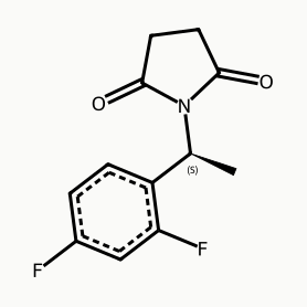 C[C@@H](c1ccc(F)cc1F)N1C(=O)CCC1=O